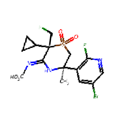 C[C@@]1(c2cc(Br)cnc2F)CS(=O)(=O)[C@@](CF)(C2CC2)/C(=N/C(=O)O)N1